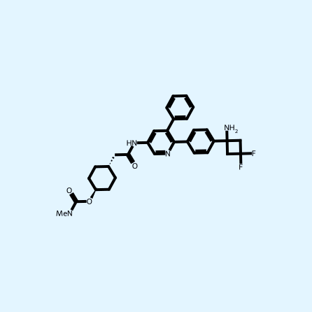 CNC(=O)O[C@H]1CC[C@H](CC(=O)Nc2cnc(-c3ccc(C4(N)CC(F)(F)C4)cc3)c(-c3ccccc3)c2)CC1